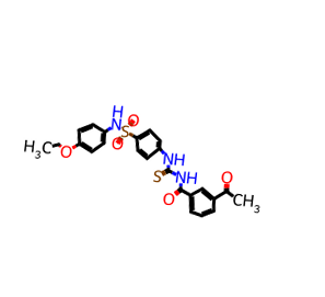 CCOc1ccc(NS(=O)(=O)c2ccc(NC(=S)NC(=O)c3cccc(C(C)=O)c3)cc2)cc1